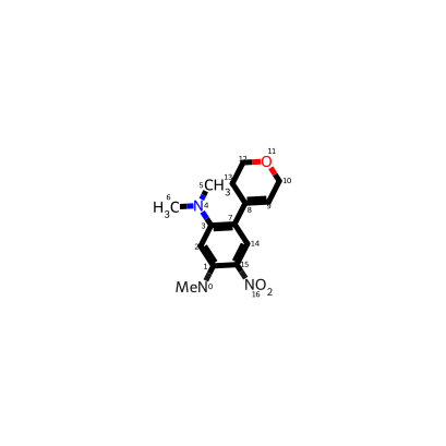 CNc1cc(N(C)C)c(C2=CCOCC2)cc1[N+](=O)[O-]